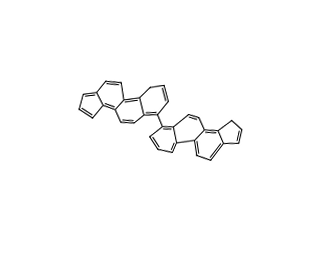 C1=Cc2c(ccc3c4c(ccc23)=C(c2cccc3c2ccc2c5c(ccc23)C=CC5)C=CC4)=C1